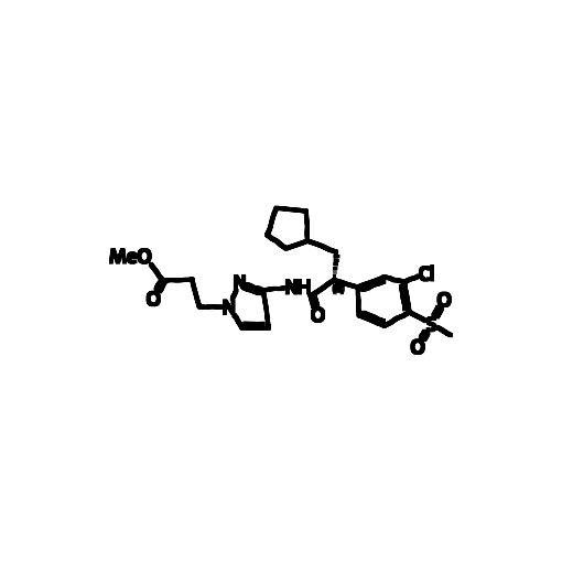 COC(=O)CCn1ccc(NC(=O)[C@H](CC2CCCC2)c2ccc(S(C)(=O)=O)c(Cl)c2)n1